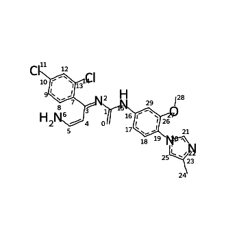 C=C(/N=C(\C=C/N)c1ccc(Cl)cc1Cl)Nc1ccc(-n2cnc(C)c2)c(OC)c1